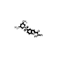 CC1CC(C)CN(S(=O)(=O)c2ccc3oc(C(=O)N(C(C)C)C(C)C)cc3c2)C1